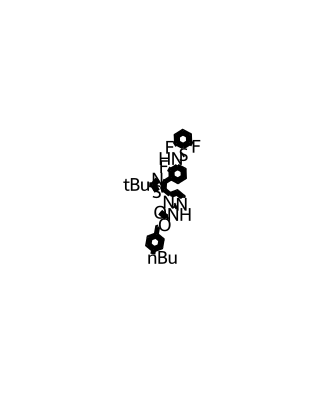 CCCCc1ccc(COC(=O)Nc2nccc(-c3sc(C(C)(C)C)nc3-c3cccc(NSc4c(F)cccc4F)c3F)n2)cc1